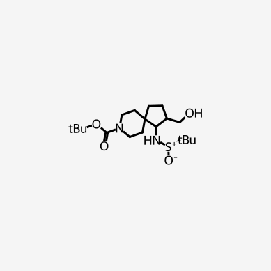 CC(C)(C)OC(=O)N1CCC2(CCC(CO)C2N[S@+]([O-])C(C)(C)C)CC1